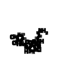 NCCCNS(=O)(=O)c1c(Cl)ccc(NC(=O)Nc2cccc(Cl)c2Cl)c1O